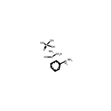 N.N.Nc1ccccc1.O=P(O)(O)O.O=S(=O)(O)OO